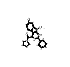 Cn1c2cc(Cl)ccc2c2c(C(=O)N3CCCC3)nc(-c3ccccc3)nc21